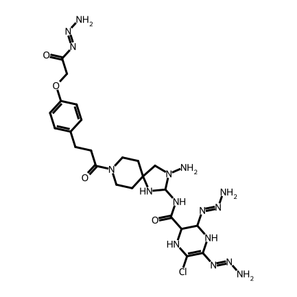 NN=NC(=O)COc1ccc(CCC(=O)N2CCC3(CC2)CN(N)C(NC(=O)C2NC(Cl)=C(N=NN)NC2N=NN)N3)cc1